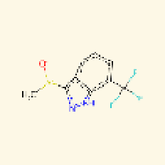 C[S+]([O-])c1n[nH]c2c(C(F)(F)F)cccc12